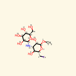 CO[C@H]1O[C@H](CI)C(O)[C@H](N[C@H]2O[C@H](CO)[C@@H](O)[C@H](O)[C@@H]2O)[C@@H]1O